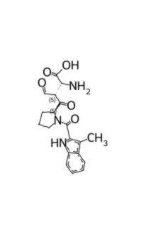 Cc1c(C(=O)N2CCC[C@H]2C(=O)[C@H](C=O)C(N)C(=O)O)[nH]c2ccccc12